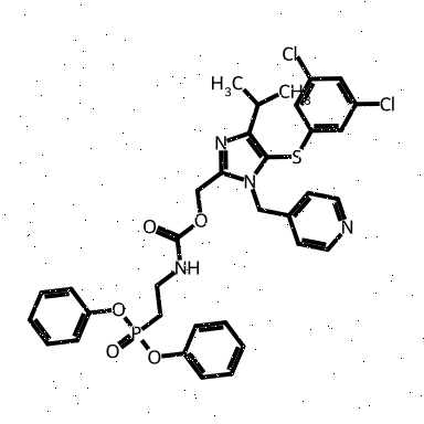 CC(C)c1nc(COC(=O)NCCP(=O)(Oc2ccccc2)Oc2ccccc2)n(Cc2ccncc2)c1Sc1cc(Cl)cc(Cl)c1